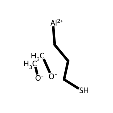 C[O-].C[O-].[Al+2][CH2]CCS